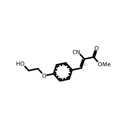 [C-]#[N+]/C(=C\c1ccc(OCCO)cc1)C(=O)OC